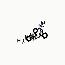 CCO/N=C(\Cn1cc(CC(=O)O)c2ccccc21)c1cccc(OS(=O)(=O)c2ccc(C)cc2)c1